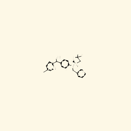 Cc1ccc(C(O)c2ccc(N(Cc3cccnc3)S(=O)(=O)CC(F)(F)F)cc2)nc1